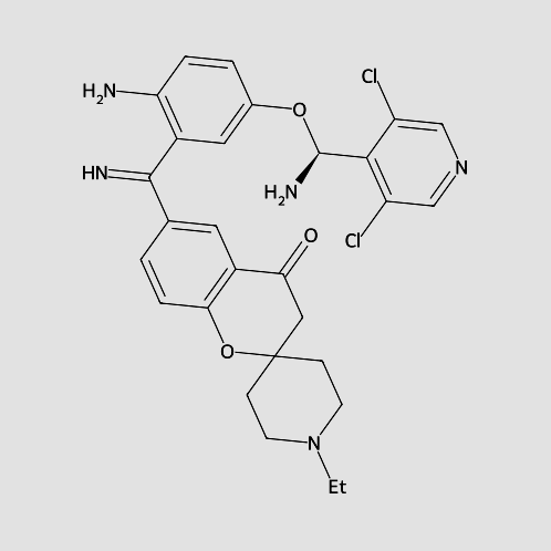 CCN1CCC2(CC1)CC(=O)c1cc(C(=N)c3cc(O[C@H](N)c4c(Cl)cncc4Cl)ccc3N)ccc1O2